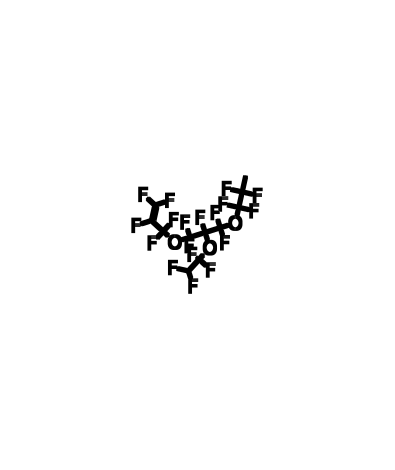 CC(F)(F)C(F)(F)OC(F)(F)C(F)(OC(F)(F)C(F)F)C(F)(F)OC(F)(F)C(F)=C(F)F